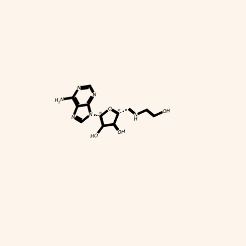 Nc1ncnc2c1ncn2[C@@H]1O[C@H](CNCCO)C(O)C1O